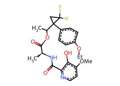 CCOc1ccc(C2(C(C)OC(=O)[C@H](C)NC(=O)c3nccc(OC)c3O)CC2(F)F)cc1